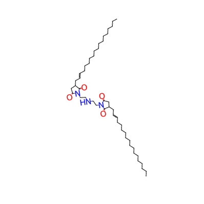 CCCCCCCCCCCCCCCC=CCC1CC(=O)N(CCNCCN2C(=O)CC(CC=CCCCCCCCCCCCCCCC)C2=O)C1=O